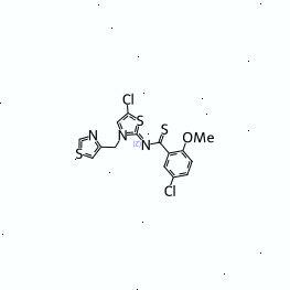 COc1ccc(Cl)cc1C(=S)/N=c1\sc(Cl)cn1Cc1cscn1